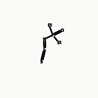 CCP(=O)(CC)N=C=S